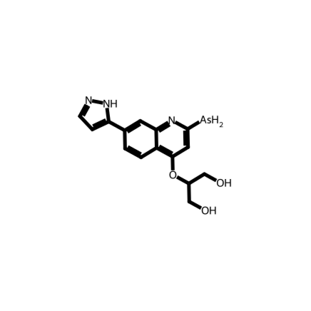 OCC(CO)Oc1cc([AsH2])nc2cc(-c3ccn[nH]3)ccc12